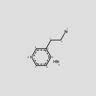 Br.BrCCc1cccnc1